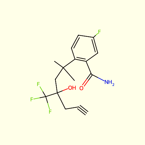 C#CCC(O)(CC(C)(C)c1ccc(F)cc1C(N)=O)C(F)(F)F